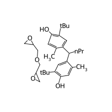 C(OCC1CO1)C1CO1.CCCC(c1cc(C(C)(C)C)c(O)cc1C)c1cc(C(C)(C)C)c(O)cc1C